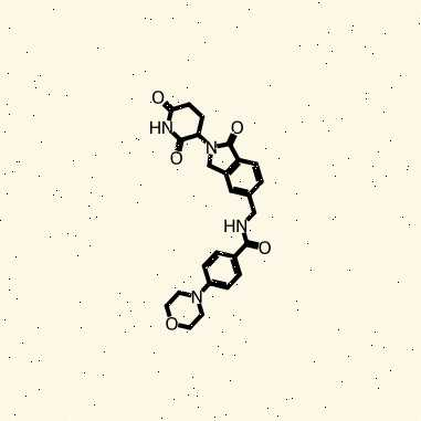 O=C1CCC(N2Cc3cc(CNC(=O)c4ccc(N5CCOCC5)cc4)ccc3C2=O)C(=O)N1